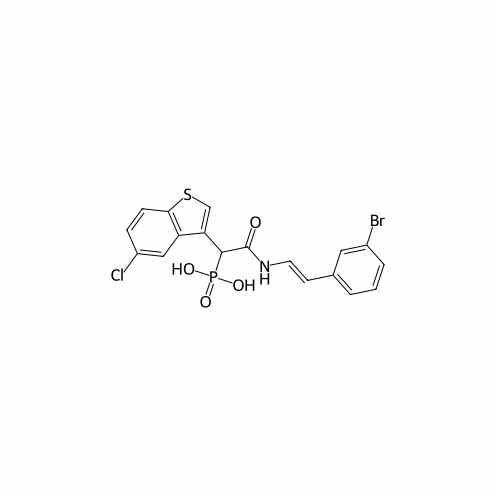 O=C(NC=Cc1cccc(Br)c1)C(c1csc2ccc(Cl)cc12)P(=O)(O)O